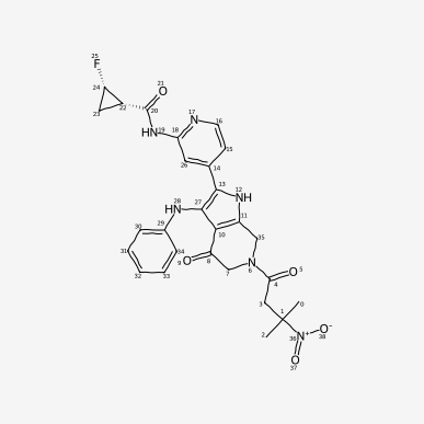 CC(C)(CC(=O)N1CC(=O)c2c([nH]c(-c3ccnc(NC(=O)[C@@H]4C[C@@H]4F)c3)c2Nc2ccccc2)C1)[N+](=O)[O-]